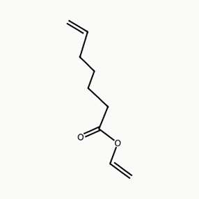 C=CCCCCC(=O)OC=C